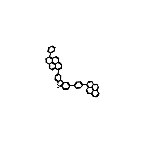 c1ccc(-c2ccc3ccc4c(-c5ccc6sc7ccc(-c8ccc(-c9ccc%10ccc%11cccc%12ccc9c%10c%11%12)cc8)cc7c6c5)ccc5ccc2c3c54)cc1